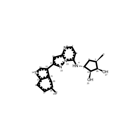 [CH2][C@@H]1C[C@@H](Nc2ccnc3cc(-c4csc5ccc(F)cc45)nn23)[C@H](O)[C@@H]1O